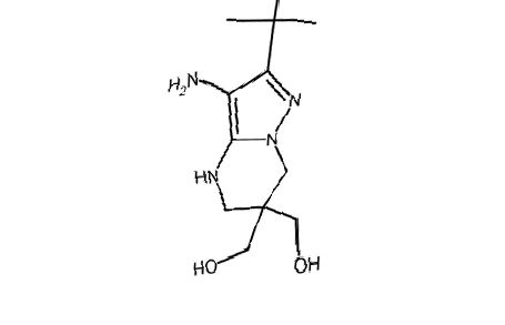 CC(C)(C)c1nn2c(c1N)NCC(CO)(CO)C2